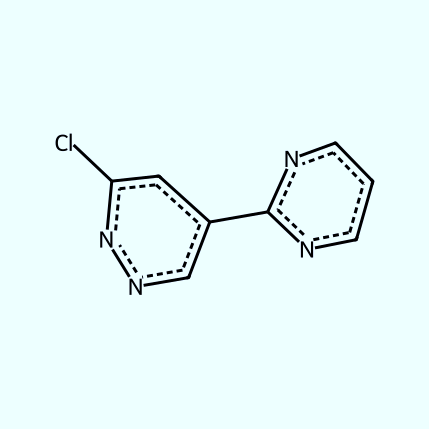 Clc1cc(-c2ncccn2)cnn1